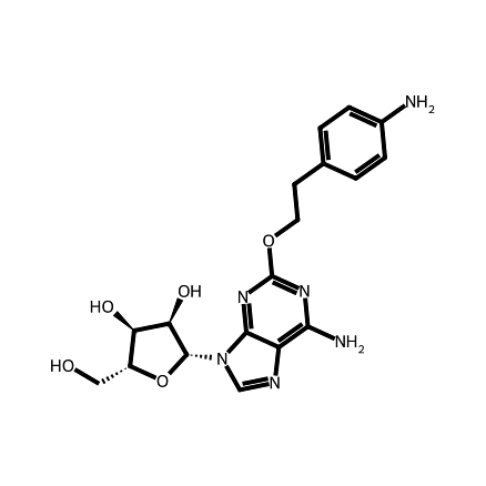 Nc1ccc(CCOc2nc(N)c3ncn([C@@H]4O[C@H](CO)[C@@H](O)[C@H]4O)c3n2)cc1